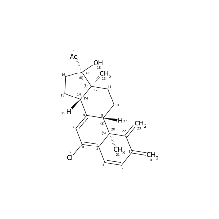 C=C1C=CC2=C(Cl)C=C3[C@H](CC[C@@]4(C)[C@H]3CC[C@]4(O)C(C)=O)[C@@]2(C)C1=C